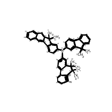 CC1(C)c2ccccc2-c2ccc(N(c3ccc4c(c3)C(C)(C)c3cc5ccccc5cc3-4)c3ccc4c(c3)C(C)(C)C(C)(C)c3ccccc3-4)cc21